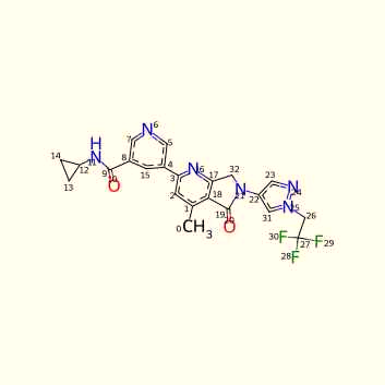 Cc1cc(-c2cncc(C(=O)NC3CC3)c2)nc2c1C(=O)N(c1cnn(CC(F)(F)F)c1)C2